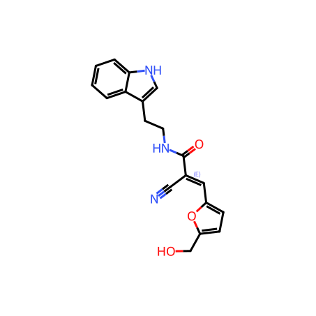 N#C/C(=C\c1ccc(CO)o1)C(=O)NCCc1c[nH]c2ccccc12